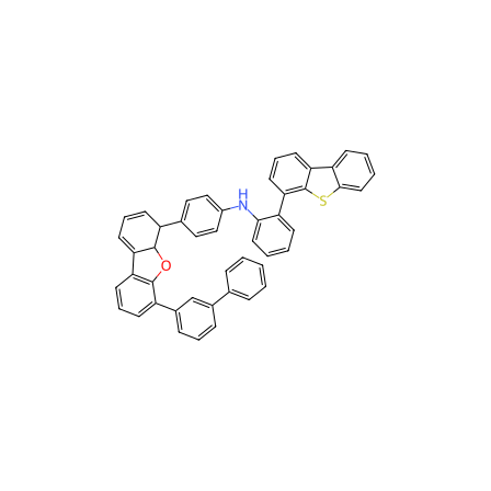 C1=CC(c2ccc(Nc3ccccc3-c3cccc4c3sc3ccccc34)cc2)C2Oc3c(cccc3-c3cccc(-c4ccccc4)c3)C2=C1